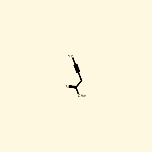 [CH2]CCC#CCC(=O)OC